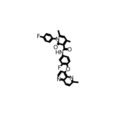 Cc1ccc2nccc(Oc3ccc(NC(=O)c4c(C)cc(C)n(-c5ccc(F)cc5)c4=O)cc3F)c2n1